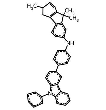 CC1C=CC2=C(C1)c1ccc(Nc3ccc(-c4ccc5c(c4)c4ccccc4n5-c4ccccc4)cc3)cc1C2(C)C